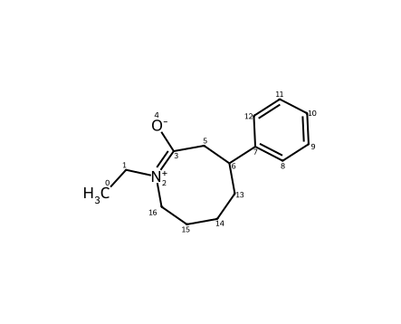 CC/[N+]1=C(\[O-])CC(c2ccccc2)CCCC1